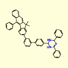 CC1(C)c2cc(-c3cccc(-c4ccc(C5NC(c6ccccc6)=NC(c6ccccc6)N5)cc4)c3)ccc2-c2c1cc1ccccc1c2-c1ccccc1